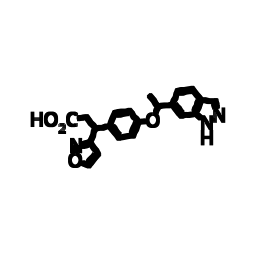 CC(Oc1ccc(C(CC(=O)O)c2ccon2)cc1)c1ccc2cn[nH]c2c1